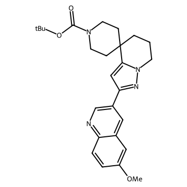 COc1ccc2ncc(-c3cc4n(n3)CCCC43CCN(C(=O)OC(C)(C)C)CC3)cc2c1